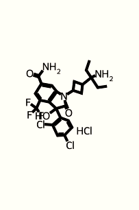 CCC(N)(CC)C1CC(N2C(=O)C(O)(c3ccc(Cl)cc3Cl)c3c2cc(C(N)=O)cc3C(F)(F)F)C1.Cl